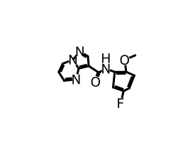 COc1ccc(F)cc1NC(=O)c1cnn2cccnc12